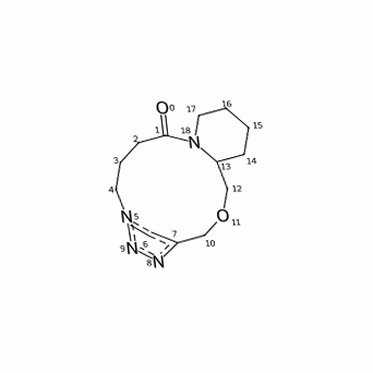 O=C1CCCn2cc(nn2)COCC2CCCCN12